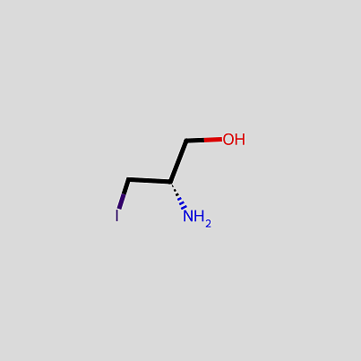 N[C@@H](CO)CI